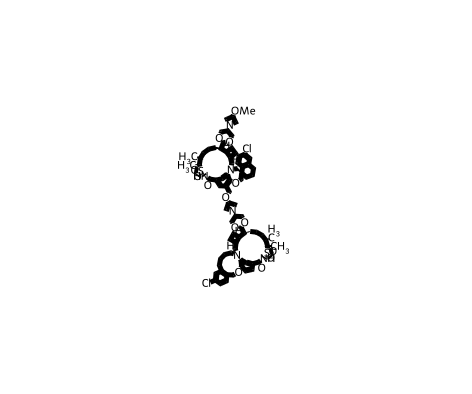 COC1CN([C@H]2CO[C@@H]([C@@H]3CCC[C@H](C)[C@@H](C)S(=O)(=O)NC(=O)c4cc(COC5CN([C@H]6CO[C@H]([C@@H]7CCC[C@H](C)[C@@H](C)S(=O)(=O)NC(=O)c8ccc9c(c8)N(CCCCc8cc(Cl)ccc8CO9)C[C@@H]8CC[C@H]87)OC6)C5)c5c(c4)N(C[C@@H]4CC[C@H]43)C[C@@]3(CCCc4cc(Cl)ccc43)CO5)OC2)C1